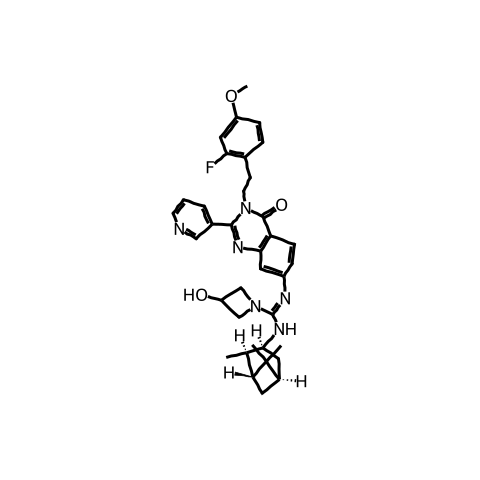 COc1ccc(CCn2c(-c3cccnc3)nc3cc(N=C(N[C@H]4C[C@H]5C[C@H]([C@H]4C)C5(C)C)N4CC(O)C4)ccc3c2=O)c(F)c1